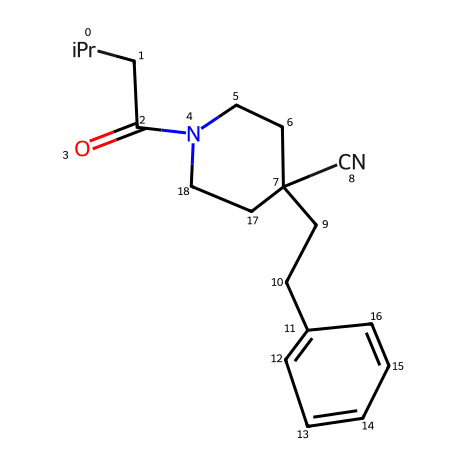 CC(C)CC(=O)N1CCC(C#N)(CCc2ccccc2)CC1